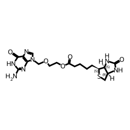 Nc1nc2c(ncn2COCCOC(=O)CCCC[C@@H]2SC[C@@H]3NC(=O)N[C@@H]32)c(=O)[nH]1